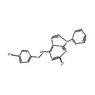 Fc1ccc(CNc2nc(Cl)nc3c2cnn3-c2ccccc2)cc1